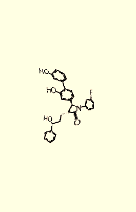 O=C1[C@H](CC[C@H](O)c2ccccc2)[C@@H](c2ccc(-c3cccc(O)c3)c(O)c2)N1c1cccc(F)c1